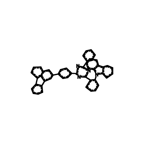 c1ccc(-c2nc(-c3ccc(-c4cc5c6c(cccc6c4)-c4ccccc4-5)cc3)nc(-c3ccccc3-n3c4ccccc4c4ccccc43)n2)cc1